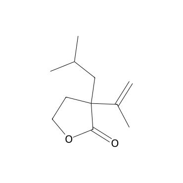 C=C(C)C1(CC(C)C)CCOC1=O